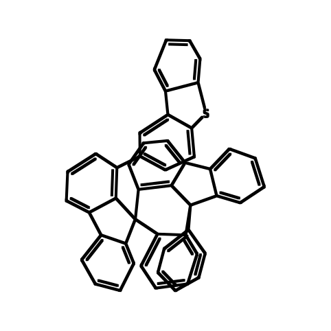 c1ccc(C23c4ccccc4-c4cccc(c42)C2(c4ccccc4-c4cccc(-c5ccc6sc7ccccc7c6c5)c42)c2ccccc23)cc1